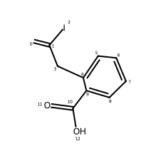 C=C(I)Cc1ccccc1C(=O)O